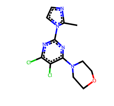 Cc1nccn1-c1nc(Cl)c(Cl)c(N2CCOCC2)n1